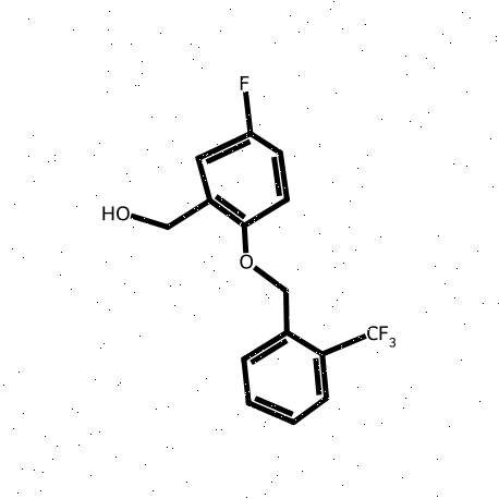 OCc1cc(F)ccc1OCc1ccccc1C(F)(F)F